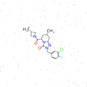 CC1Cc2nn(Cc3ccc(F)c(Cl)c3)c(=O)n2C(C(=O)N2CC(C)C2)C1